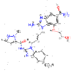 CCn1nc(C)cc1C(=O)Nc1nc2cc(C(=O)O)ccc2n1CC=CCn1c(N)nc2cc(C(N)=O)cc(OCCO)c21